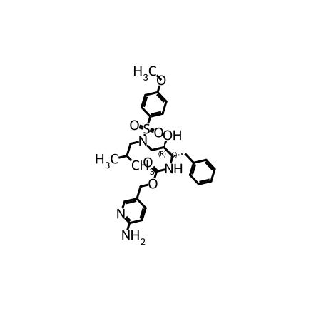 COc1ccc(S(=O)(=O)N(CC(C)C)C[C@@H](O)[C@H](Cc2ccccc2)NC(=O)OCc2ccc(N)nc2)cc1